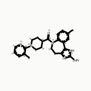 CCCc1nc2c([nH]1)-c1cc(C)ccc1N(C(=O)C1CCN(c3ncccc3C)CC1)CC2